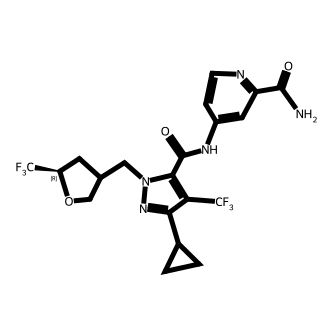 NC(=O)c1cc(NC(=O)c2c(C(F)(F)F)c(C3CC3)nn2CC2CO[C@@H](C(F)(F)F)C2)ccn1